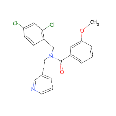 COc1cccc(C(=O)N(Cc2cccnc2)Cc2ccc(Cl)cc2Cl)c1